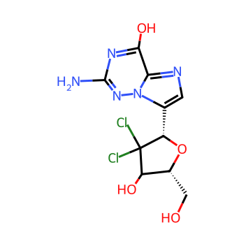 Nc1nc(O)c2ncc([C@@H]3O[C@H](CO)C(O)C3(Cl)Cl)n2n1